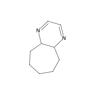 C1=NC2CCCCCC2N=C1